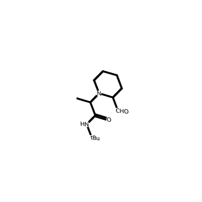 CC(C(=O)NC(C)(C)C)N1CCCCC1C=O